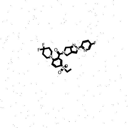 CCS(=O)(=O)c1ccc(N2CCC(F)(F)CC2)c(C(=O)N2Cc3cn(-c4ccc(F)cn4)nc3C2)c1